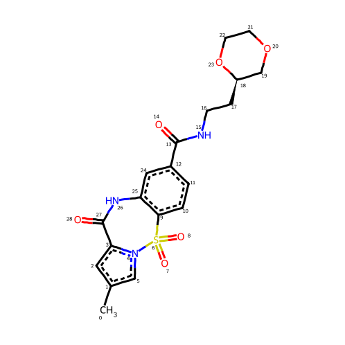 Cc1cc2n(c1)S(=O)(=O)c1ccc(C(=O)NCC[C@@H]3COCCO3)cc1NC2=O